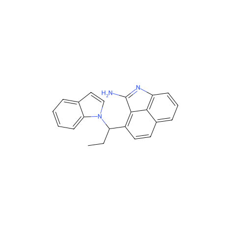 CCC(c1ccc2cccc3c2c1C(N)=N3)n1ccc2ccccc21